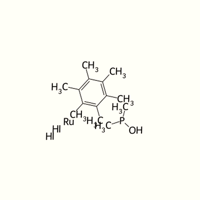 CP(C)O.Cc1c(C)c(C)c(C)c(C)c1C.I.I.[Ru]